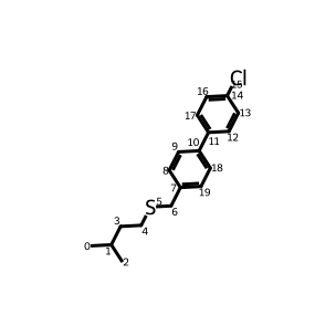 CC(C)CCSCc1ccc(-c2ccc(Cl)cc2)cc1